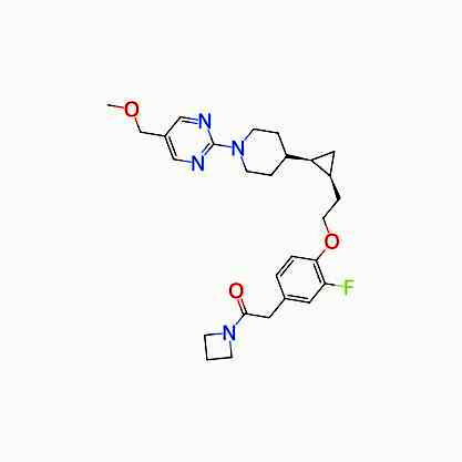 COCc1cnc(N2CCC([C@H]3C[C@H]3CCOc3ccc(CC(=O)N4CCC4)cc3F)CC2)nc1